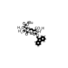 CN(C(=O)OC(C)(C)C)C(=NCCCC(NC(=O)OCC1c2ccccc2-c2ccccc21)C(=O)O)N(C)C(=O)OC(C)(C)C